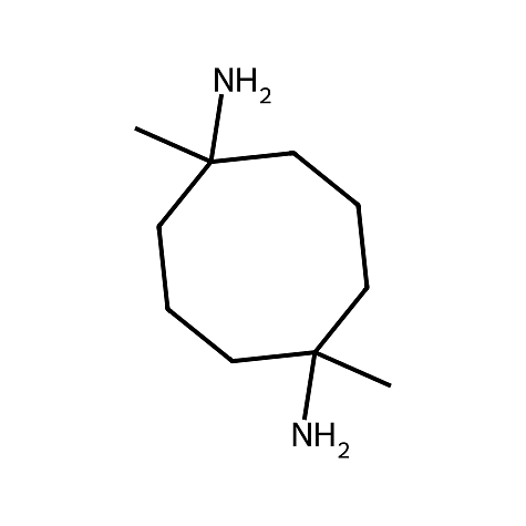 CC1(N)CCCC(C)(N)CCC1